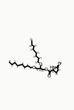 CCCCCCCCOCC(COC(=O)C1CCC(=O)N1)OCCCCCCCC